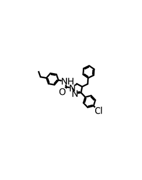 CCc1ccc(NC(=O)N2CC(Cc3ccccc3)C(c3ccc(Cl)cc3)=N2)cc1